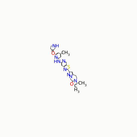 Cc1cc(Nc2cc3nc(-c4cc5n(n4)CC(=O)N(C(C)C)CC5)sc3cn2)nc(O[C@H]2CCNC2)c1